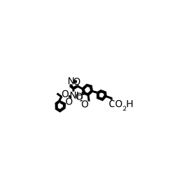 CC(OC(=O)Nc1cnoc1-c1ccc(-c2ccc(CC(=O)O)cc2)c2c1OCOC2)c1ccccc1